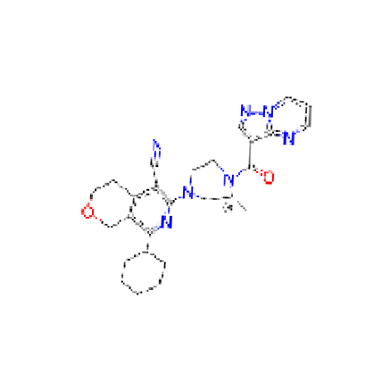 C[C@@H]1CN(c2nc(C3CCCCC3)c3c(c2C#N)CCOC3)CCN1C(=O)c1cnn2cccnc12